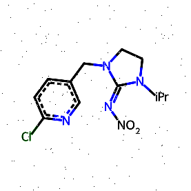 CC(C)N1CCN(Cc2ccc(Cl)nc2)C1=N[N+](=O)[O-]